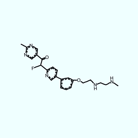 CNCCNCCOc1cccc(-c2ccc(C(F)C(=O)c3cnc(C)nc3)nc2)c1